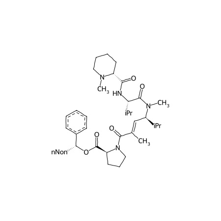 CCCCCCCCC[C@@H](OC(=O)[C@@H]1CCCN1C(=O)/C(C)=C/[C@H](C(C)C)N(C)C(=O)[C@@H](NC(=O)[C@H]1CCCCN1C)C(C)C)c1ccccc1